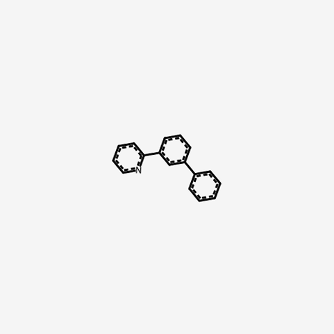 c1ccc(-c2cccc(-c3ccccn3)c2)cc1